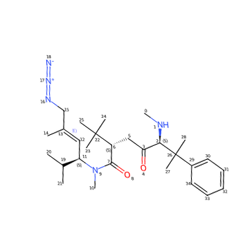 CN[C@H](C(=O)C[C@H](C(=O)N(C)[C@H](/C=C(\C)CN=[N+]=[N-])C(C)C)C(C)(C)C)C(C)(C)c1ccccc1